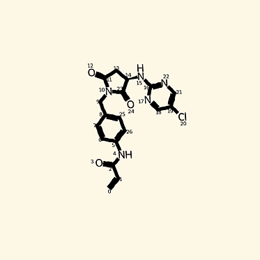 C=CC(=O)Nc1ccc(CN2C(=O)C[C@@H](Nc3ncc(Cl)cn3)C2=O)cc1